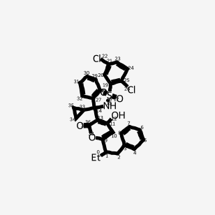 CCC(Cc1ccccc1)c1cc(O)c(C(NS(=O)(=O)c2cc(Cl)ccc2Cl)(c2ccccc2)C2CC2)c(=O)o1